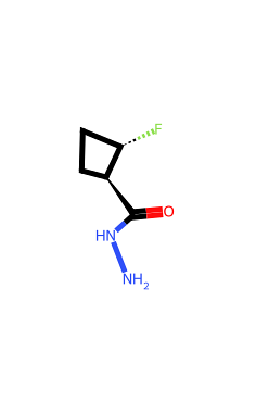 NNC(=O)[C@H]1CC[C@@H]1F